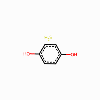 Oc1ccc(O)cc1.S